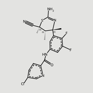 C[C@@H]1[C@@](C)(C#N)SC(N)=N[C@]1(C)c1cc(NC(=O)c2ccc(Cl)cn2)cc(F)c1F